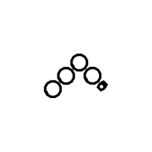 C1=CCCCCCCCCCC1.C1=CCCCCCCCCCC1.C1=CCCCCCCCCCC1.C1=CCCCCCCCCCC1.C1CC2CCC1C2